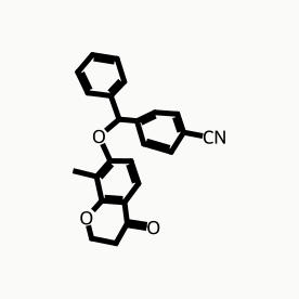 Cc1c(OC(c2ccccc2)c2ccc(C#N)cc2)ccc2c1OCCC2=O